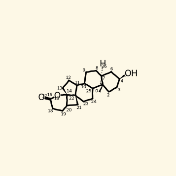 C[C@]12CC[C@H](O)C[C@@H]1CCC1C3CC[C@]45OC(=O)CCC4C[C@]35CCC12